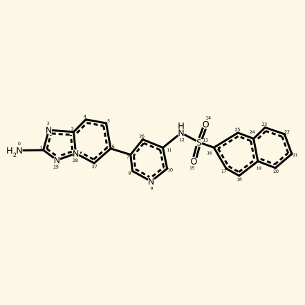 Nc1nc2ccc(-c3cncc(NS(=O)(=O)c4ccc5ccccc5c4)c3)cn2n1